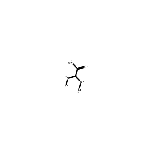 CCCC(=O)C(OCC)OCC